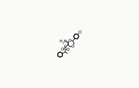 CC(c1ccccc1)S(=O)(=O)OC1=C(N)OC(c2ccc(Cl)cc2)COC1